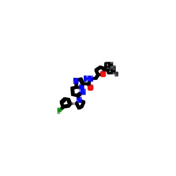 CC1(C)CCC(CNC(=O)c2cnc3ccc(N4CCC[C@@H]4c4cccc(F)c4)nn23)O1